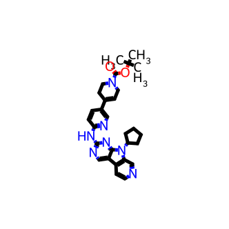 CC(C)(C)OC(=O)N1CC=C(c2ccc(Nc3ncc4c5ccncc5n(C5CCCC5)c4n3)nc2)CC1